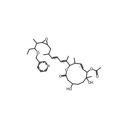 CCC(OCc1cccnc1)C(C)C1OC1CC(C)/C=C/C=C(\C)C1OC(=O)CC(O)CCC(C)(O)C(OC(C)=O)/C=C/C1C